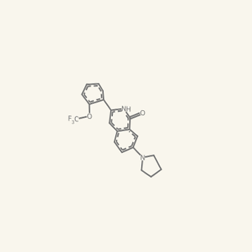 O=c1[nH]c(-c2ccccc2OC(F)(F)F)cc2ccc(N3CCCC3)cc12